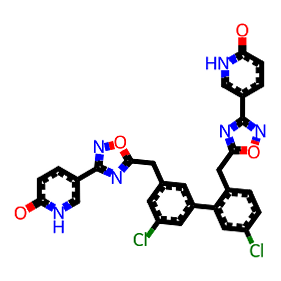 O=c1ccc(-c2noc(Cc3cc(Cl)cc(-c4cc(Cl)ccc4Cc4nc(-c5ccc(=O)[nH]c5)no4)c3)n2)c[nH]1